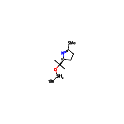 CSC1=N[C@H](C(C)(C)O[SiH2]C(C)(C)C)CC1